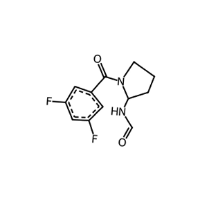 O=CNC1CCCN1C(=O)c1cc(F)cc(F)c1